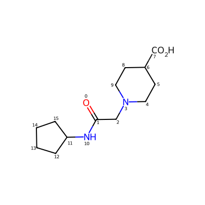 O=C(CN1CCC(C(=O)O)CC1)NC1CCCC1